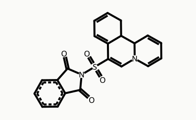 O=C1c2ccccc2C(=O)N1S(=O)(=O)C1=CN2C=CC=CC2C2CC=CC=C12